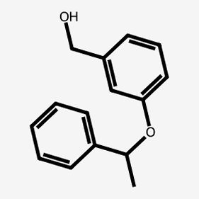 CC(Oc1cccc(CO)c1)c1ccccc1